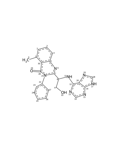 Cc1cccc2nc(C(CO)Nc3ncnc4[nH]cnc34)n(-c3ccccc3)c(=O)c12